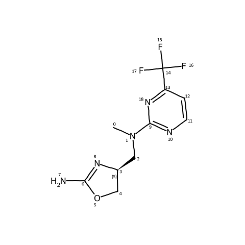 CN(C[C@H]1COC(N)=N1)c1nccc(C(F)(F)F)n1